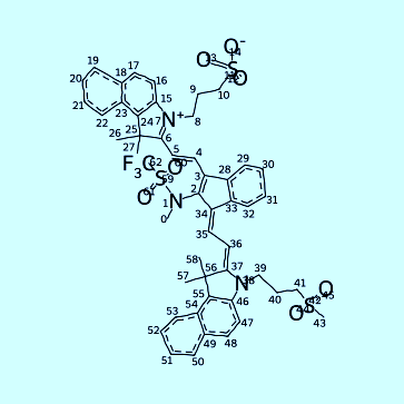 CN(C1=C(/C=C/C2=[N+](CCCS(=O)(=O)[O-])c3ccc4ccccc4c3C2(C)C)c2ccccc2/C1=C\C=C1\N(CCCS(C)(=O)=O)c2ccc3ccccc3c2C1(C)C)S(=O)(=O)C(F)(F)F